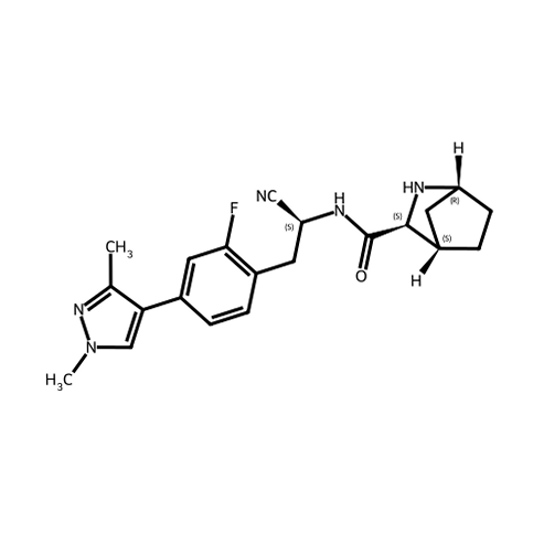 Cc1nn(C)cc1-c1ccc(C[C@@H](C#N)NC(=O)[C@H]2N[C@@H]3CC[C@H]2C3)c(F)c1